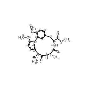 CN[C@@H]1C(=O)N[C@@H](C)C(=O)N[C@H](C(=O)OC)Cc2ccc(OC)c(c2)-c2cc1ccc2OC